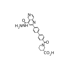 NNC(=O)c1cc(-c2ccc(-c3ccc(C(=O)N4CCCC(C(=O)O)C4)cc3)cc2)nc2ccncc12